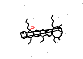 C=C1/C=C2\C3=CC(CCCC)c4cc5c(cc4C1CC)C(CC)c1cc4c(cc1C5)C(O)(CCCC)c1cc(c(cc1C4CC)C2CC)C3